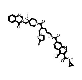 O=C(NCCCC(Cn1ccc(F)n1)C(=O)N1CCC(O)(Cn2cnc3ccccc3c2=O)CC1)c1ccc2c(Cl)c(C(=O)NC3CC3)cnc2c1